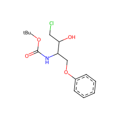 CC(C)(C)OC(=O)NC(COc1ccccc1)C(O)CCl